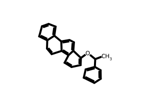 CC(Oc1cccc2c1ccc1c3ccccc3ccc21)c1ccccc1